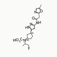 Cc1cnc(CC(=O)Nc2cc([C@H]3CC[C@@H](N(C(=O)O)C(C)CF)C3)[nH]n2)o1